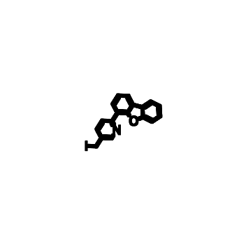 ICc1ccc(-c2cccc3c2oc2ccccc23)nc1